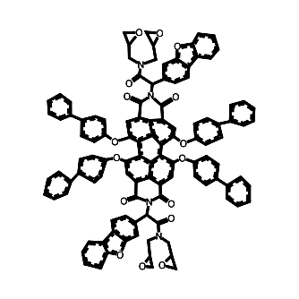 O=C(C(c1ccc2c(c1)oc1ccccc12)N1C(=O)c2cc(Oc3ccc(-c4ccccc4)cc3)c3c4c(Oc5ccc(-c6ccccc6)cc5)cc5c6c(cc(Oc7ccc(-c8ccccc8)cc7)c(c7c(Oc8ccc(-c9ccccc9)cc8)cc(c2c37)C1=O)c64)C(=O)N(C(C(=O)N(CC1CO1)CC1CO1)c1ccc2c(c1)oc1ccccc12)C5=O)N(CC1CO1)CC1CO1